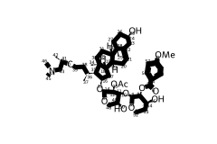 COc1ccc(C(=O)O[C@H]2[C@H](O[C@@H]3[C@@H](OC(C)=O)[C@H](O[C@H]4C[C@H]5[C@@H]6CC=C7C[C@@H](O)CC[C@]7(C)[C@H]6CC[C@]5(C)[C@H]4[C@H](C)CCC[C@@H](C)CN(C)C)OC[C@@H]3O)OCC[C@@H]2O)cc1